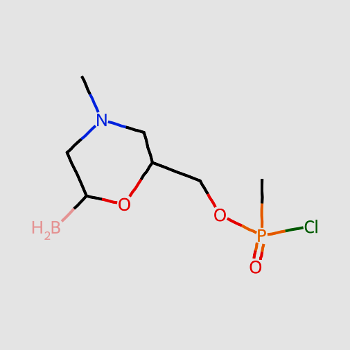 BC1CN(C)CC(COP(C)(=O)Cl)O1